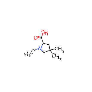 CN1CC(C)(C)CC1C(=O)O